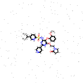 COc1ccccc1Oc1c(NS(=O)(=O)c2ccc(C(C)C)cn2)nc(-c2ccncc2)nc1OCCN1CCCC1=O